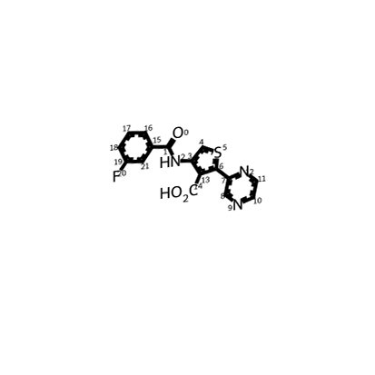 O=C(Nc1csc(-c2cnccn2)c1C(=O)O)c1cccc(F)c1